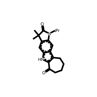 CC(C)N1C(=O)C(C)(C)c2cc3[nH]c4c(c3cc21)CCCCC4=O